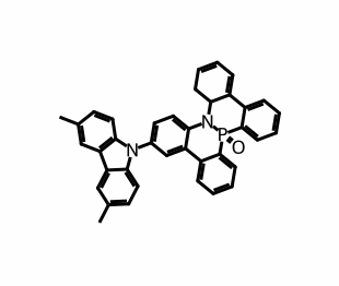 Cc1ccc2c(c1)c1cc(C)ccc1n2-c1ccc2c(c1)-c1ccccc1P1(=O)c3ccccc3C3=CC=CCC3N21